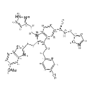 COc1ccc2sc(CCc3c(CCc4ccc(Cl)cc4)c4cc(C(=O)NCc5ccno5)ccc4n3CCc3nn[nH]n3)nc2c1